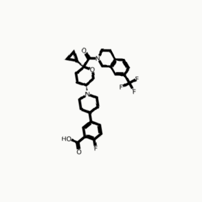 O=C(O)c1cc(C2CCN([C@@H]3CC[C@@](C(=O)N4CCc5ccc(C(F)(F)F)cc5C4)(C4CC4)OC3)CC2)ccc1F